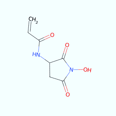 C=CC(=O)NC1CC(=O)N(O)C1=O